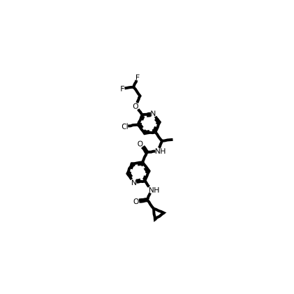 CC(NC(=O)c1ccnc(NC(=O)C2CC2)c1)c1cnc(OCC(F)F)c(Cl)c1